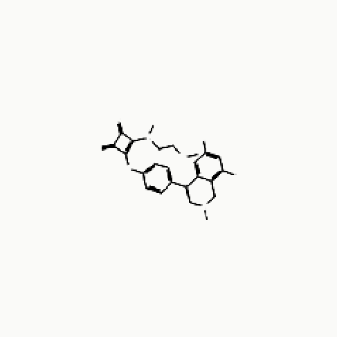 COCCN(C)c1c(Nc2ccc(C3CN(C)Cc4c(Cl)cc(Cl)cc43)cc2)c(=O)c1=O